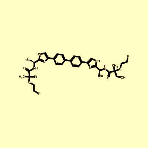 CCC(C)(OCCF)C(=O)N[C@H](c1nc(-c2ccc(-c3ccc(-c4c[nH]c([C@@H](NC(=O)C(C)(CO)OCCF)C(C)(C)C)n4)cc3)cc2)c[nH]1)C(C)(C)C